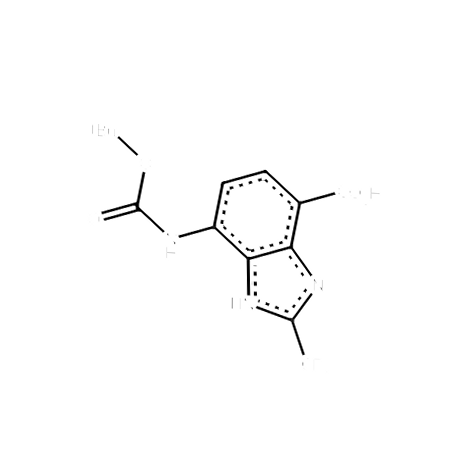 CC(C)(C)OC(=O)Nc1ccc(C(=O)O)c2nc(C(F)(F)F)[nH]c12